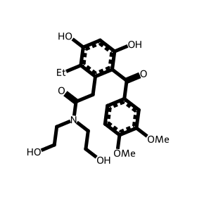 CCc1c(O)cc(O)c(C(=O)c2ccc(OC)c(OC)c2)c1CC(=O)N(CCO)CCO